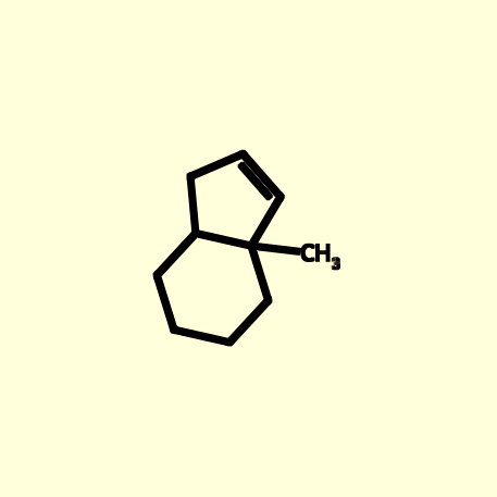 CC12C=CCC1CCCC2